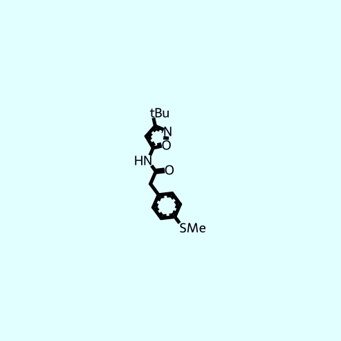 CSc1ccc(CC(=O)Nc2cc(C(C)(C)C)no2)cc1